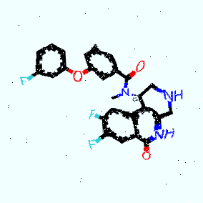 CN(C(=O)c1cccc(Oc2cccc(F)c2)c1)[C@@H]1CNCc2[nH]c(=O)c3cc(F)c(F)cc3c21